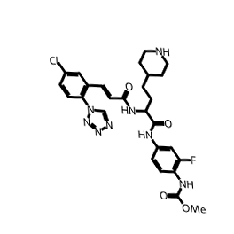 COC(=O)Nc1ccc(NC(=O)C(CCC2CCNCC2)NC(=O)C=Cc2cc(Cl)ccc2-n2cnnn2)cc1F